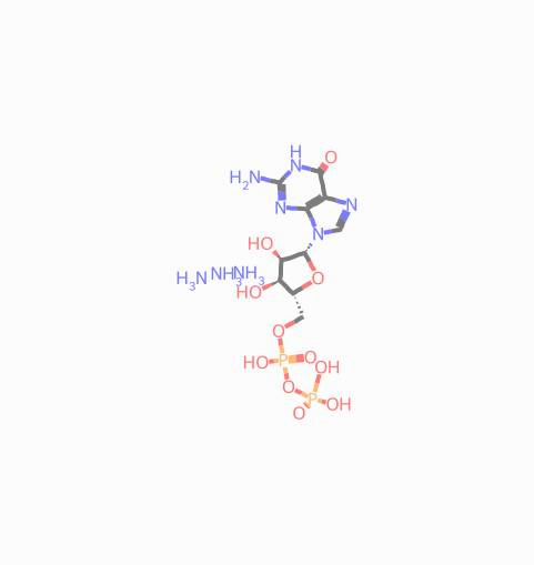 N.N.N.Nc1nc2c(ncn2[C@@H]2O[C@H](COP(=O)(O)OP(=O)(O)O)[C@@H](O)[C@H]2O)c(=O)[nH]1